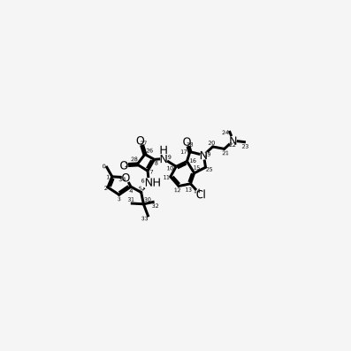 Cc1ccc([C@H](Nc2c(Nc3ccc(Cl)c4c3C(=O)N(CCN(C)C)C4)c(=O)c2=O)C(C)(C)C)o1